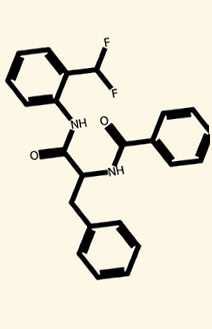 O=C(NC(Cc1ccccc1)C(=O)Nc1ccccc1C(F)F)c1ccccc1